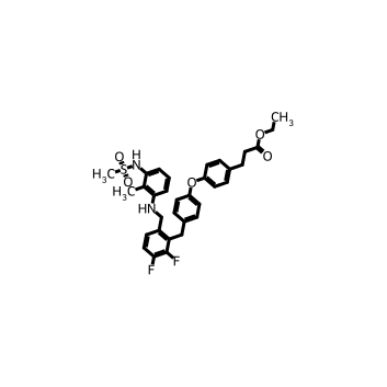 CCOC(=O)CCc1ccc(Oc2ccc(Cc3c(CNc4cccc(NS(C)(=O)=O)c4C)ccc(F)c3F)cc2)cc1